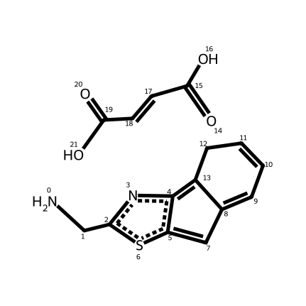 NCc1nc2c(s1)=CC1=CC=CCC=21.O=C(O)C=CC(=O)O